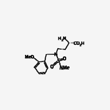 CNS(=O)(=O)N(CC[C@H](N)C(=O)O)Cc1ccccc1OC